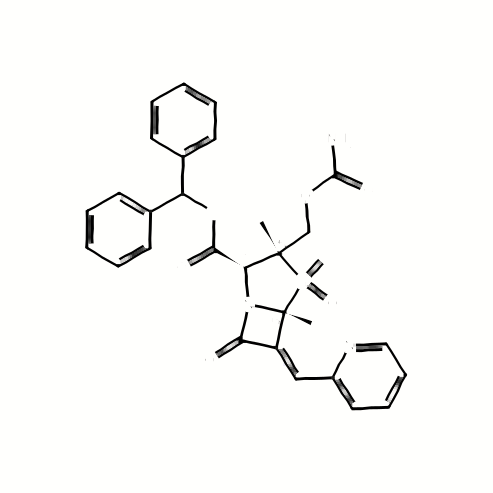 C[C@]1(COC(N)=O)[C@H](C(=O)OC(c2ccccc2)c2ccccc2)N2C(=O)/C(=C/c3ccccn3)[C@H]2S1(=O)=O